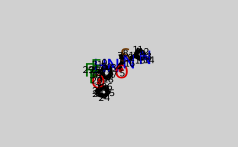 Cc1c(NC(=O)c2csc(-c3ccn(C)c3)n2)ccc(Oc2ccccc2)c1C(F)(F)F